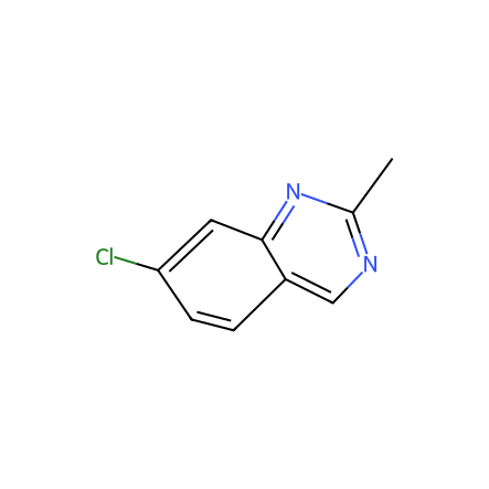 Cc1ncc2ccc(Cl)cc2n1